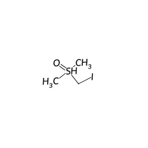 C[SH](C)(=O)CI